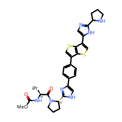 COC(=O)N[C@H](C(=O)N1CCC[C@H]1c1nc(-c2ccc(-c3csc4c(-c5cnc(C6CCCN6)[nH]5)csc34)cc2)c[nH]1)C(C)C